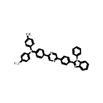 Cc1ccc(N(c2ccc(C)cc2)c2ccc(-c3cnc(-c4ccc(-c5nc6ccccc6n5-c5ccccc5)cc4)cn3)cc2)cc1